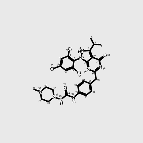 CC(C)c1[nH]n(-c2c(Cl)cc(Cl)cc2Cl)c2nc(Cc3ccc(NC(=O)NN4CCN(C)CC4)cc3)nc(=O)c1-2